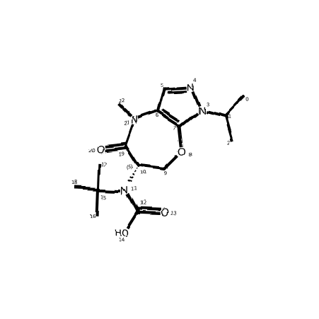 CC(C)n1ncc2c1OC[C@H](N(C(=O)O)C(C)(C)C)C(=O)N2C